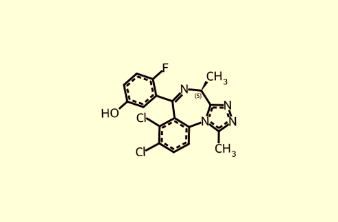 Cc1nnc2n1-c1ccc(Cl)c(Cl)c1C(c1cc(O)ccc1F)=N[C@H]2C